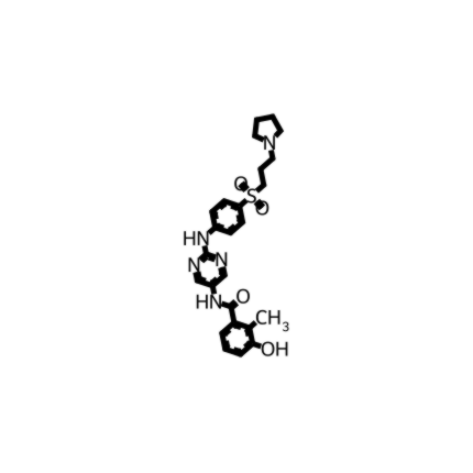 Cc1c(O)cccc1C(=O)Nc1cnc(Nc2ccc(S(=O)(=O)CCCN3CCCC3)cc2)nc1